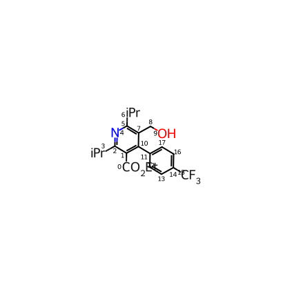 CCOC(=O)c1c(C(C)C)nc(C(C)C)c(CO)c1-c1ccc(C(F)(F)F)cc1